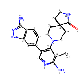 Nc1ncc(-c2ccc3c(N)n[nH]c3c2)c(N2CCC3(CCNC3=O)CC2)c1C(F)(F)F